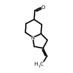 CC=C1CC2CC(C=O)CCN2C1